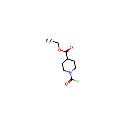 O=C(OCC(F)(F)F)C1CCN(C(=O)F)CC1